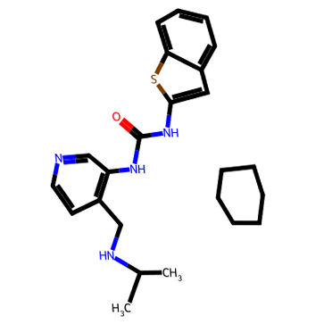 C1CCCCC1.CC(C)NCc1ccncc1NC(=O)Nc1cc2ccccc2s1